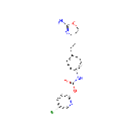 NC1=N[C@@H](CCc2ccc(NC(=O)Oc3ccc(Br)cn3)cc2)CO1